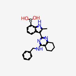 Cc1[nH]c2c(B(O)O)cccc2c1-c1nc2c(c(NCc3ccccc3)n1)CCCC2